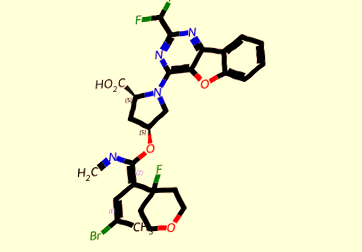 C=N/C(O[C@H]1C[C@@H](C(=O)O)N(c2nc(C(F)F)nc3c2oc2ccccc23)C1)=C(\C=C(/C)Br)C1(F)CCOCC1